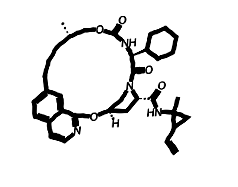 C=CC1CC1(C)NC(=O)[C@@H]1C[C@@H]2CN1C(=O)[C@H](C1CCCCC1)NC(=O)OC[C@@H](C)CCCc1ccc3ccnc(c3c1)O2